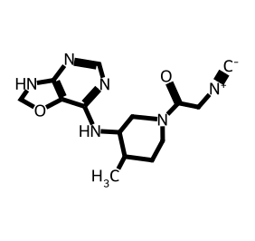 [C-]#[N+]CC(=O)N1CCC(C)C(Nc2ncnc3c2OCN3)C1